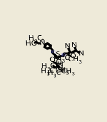 CCN(CCO)c1ccc(/C=C/c2sc(/C=C/C3=C(C#N)C(=C(C#N)C#N)OC3(C)C)c3c2OCC(C(O[SiH](C)C)C(C)(C)C)O3)cc1